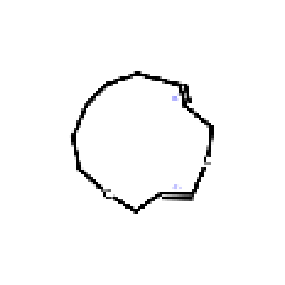 C1=C/CCCCCCC/C=C/CC/1